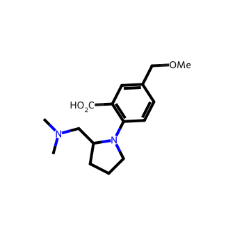 COCc1ccc(N2CCCC2CN(C)C)c(C(=O)O)c1